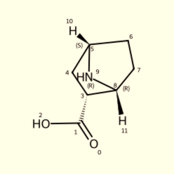 O=C(O)[C@@H]1C[C@@H]2CC[C@H]1N2